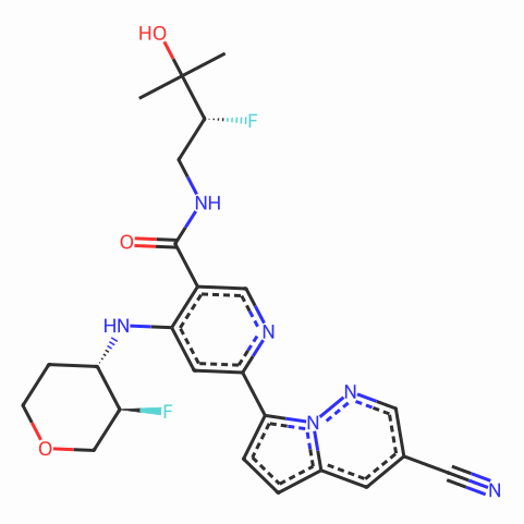 CC(C)(O)[C@H](F)CNC(=O)c1cnc(-c2ccc3cc(C#N)cnn23)cc1N[C@H]1CCOC[C@@H]1F